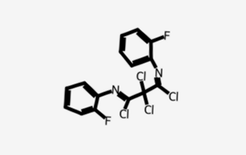 Fc1ccccc1/N=C(\Cl)C(Cl)(Cl)/C(Cl)=N\c1ccccc1F